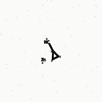 N#CC1CC1.[Zn]